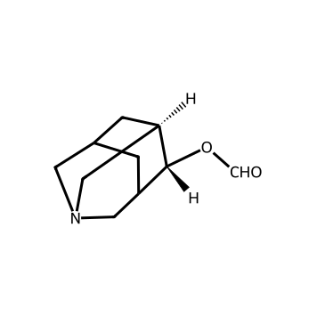 O=CO[C@@H]1C2CC3C[C@@H]1CN(C3)C2